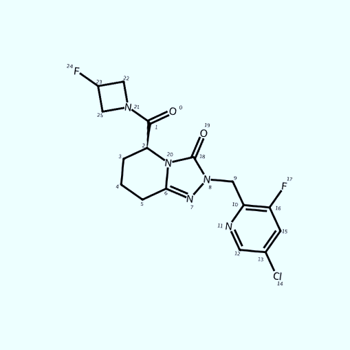 O=C([C@@H]1CCCc2nn(Cc3ncc(Cl)cc3F)c(=O)n21)N1CC(F)C1